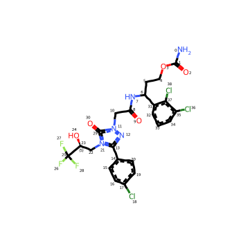 NC(=O)OCCC(NC(=O)Cn1nc(-c2ccc(Cl)cc2)n(C[C@H](O)C(F)(F)F)c1=O)c1cccc(Cl)c1Cl